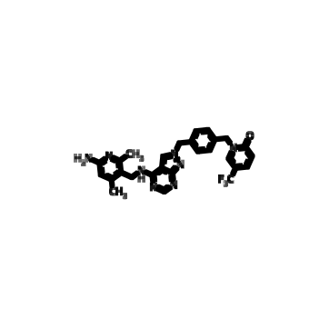 Cc1cc(N)nc(C)c1CNc1ncnc2nn(Cc3ccc(Cn4cc(C(F)(F)F)ccc4=O)cc3)cc12